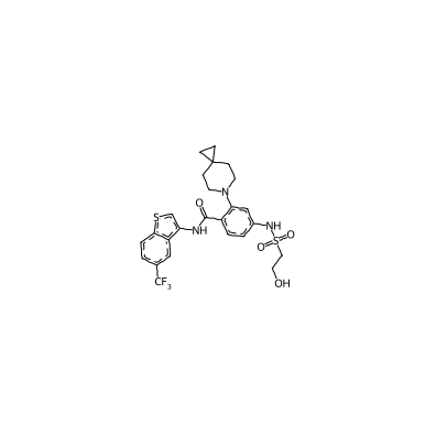 O=C(Nc1csc2ccc(C(F)(F)F)cc12)c1ccc(NS(=O)(=O)CCO)cc1N1CCC2(CC1)CC2